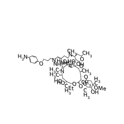 CC[C@H]1OC(=O)[C@H](C)[C@@H](O[C@H]2C[C@@](C)(OC)[C@@H](O)[C@H](C)O2)[C@H](C)[C@@H](O[C@@H]2O[C@H](C)C[C@H](N(C)CC/C(N)=C/N(N)CCCOc3ccc(N)cc3)[C@H]2O)[C@](C)(O)C[C@@H](C)CN(C)[C@H](C)[C@@H](O)[C@]1(C)O